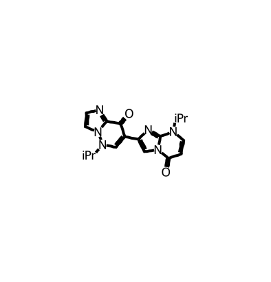 CC(C)n1ccc(=O)n2cc(-c3cn(C(C)C)n4ccnc4c3=O)nc12